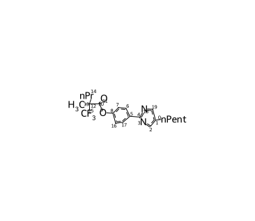 CCCCCc1cnc(-c2ccc(OC(=O)C(C)(CCC)C(F)(F)F)cc2)nc1